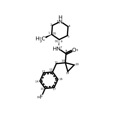 C[C@H]1CNCC[C@@H]1NC(=O)C1(Cc2ccc(F)cc2)CC1